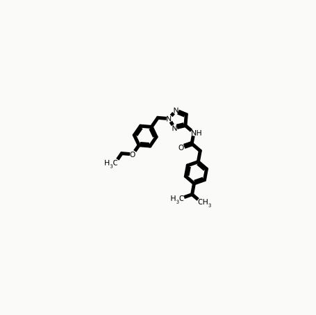 CCOc1ccc(Cn2ncc(NC(=O)Cc3ccc(C(C)C)cc3)n2)cc1